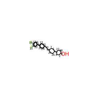 OC1CCC(C2CCC(CCc3ccc(-c4ccc(F)c(F)c4)cc3)CC2)CC1